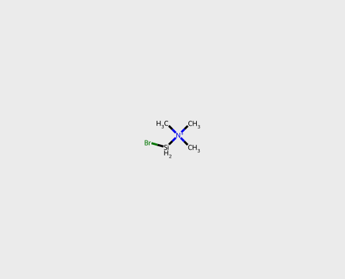 C[N+](C)(C)[SiH2]Br